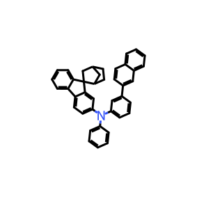 c1ccc(N(c2cccc(-c3ccc4ccccc4c3)c2)c2ccc3c(c2)C2(CC4CCC2C4)c2ccccc2-3)cc1